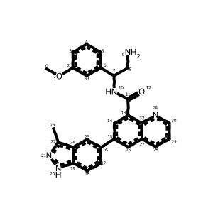 COc1cccc(C(CN)NC(=O)c2cc(-c3ccc4[nH]nc(C)c4c3)cc3cccnc23)c1